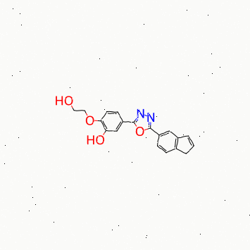 OCCOc1ccc(-c2nnc(-c3ccc4c(c3)C=CC4)o2)cc1O